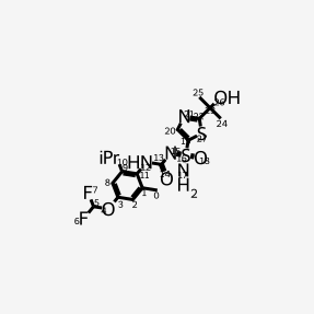 Cc1cc(OC(F)F)cc(C(C)C)c1NC(=O)N=S(N)(=O)c1cnc(C(C)(C)O)s1